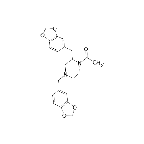 [CH2]C(=O)N1CCN(Cc2ccc3c(c2)OCO3)CC1Cc1ccc2c(c1)OCO2